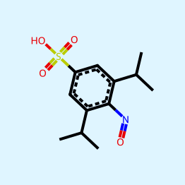 CC(C)c1cc(S(=O)(=O)O)cc(C(C)C)c1N=O